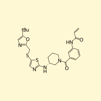 C=CC(=O)Nc1cccc(C(=O)N2CCC[C@@H](Nc3ncc(SCc4ncc(C(C)(C)C)o4)s3)C2)c1